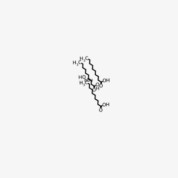 CCCCCCCCCC(=O)O.CCCCCCCCCC(=O)O.CCCCCCCCCC(=O)O.CCCCO